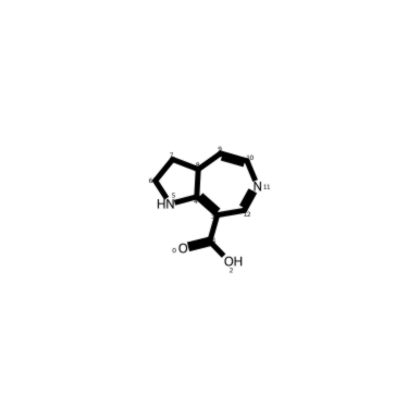 O=C(O)C1=C2NCCC2C=CN=C1